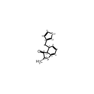 CC1SC2=CC=CC(Cc3ccsc3)C2C1=O